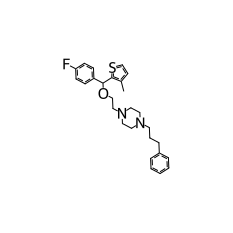 Cc1ccsc1C(OCCN1CCN(CCCc2ccccc2)CC1)c1ccc(F)cc1